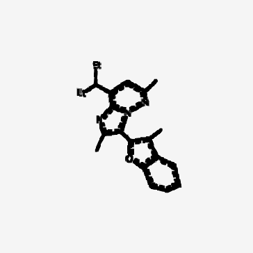 CCC(CC)c1cc(C)nn2c(-c3oc4ccccc4c3C)c(C)nc12